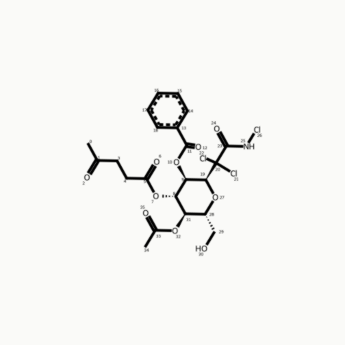 CC(=O)CCC(=O)O[C@@H]1[C@@H](OC(=O)c2ccccc2)[C@@H](C(Cl)(Cl)C(=O)NCl)O[C@H](CO)[C@H]1OC(C)=O